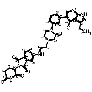 CCc1c[nH]c2ncc(-c3cccc(N4CCN(CCNc5ccc6c(c5)C(=O)N(C5CCC(=O)NC5=O)C6=O)CC4=O)c3)c(Cl)c12